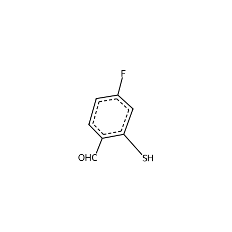 O=Cc1ccc(F)cc1S